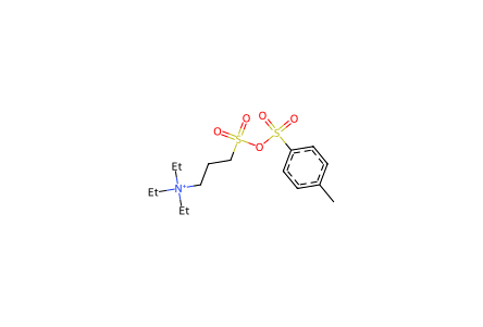 CC[N+](CC)(CC)CCCS(=O)(=O)OS(=O)(=O)c1ccc(C)cc1